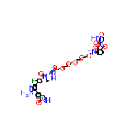 Nc1ncc(-c2ccc([S+]([O-])N(CCCNC(=O)CCOCCOCCOCCOCCOCCNc3cccc4c3C(=O)N(C3CCC(=O)NC3=O)C4=O)C3CC3)cc2F)cc1-c1ccc2c(c1)CCNC2=O